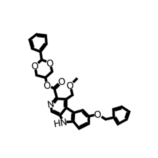 COCc1c(C(=O)OC2COC(c3ccccc3)OC2)ncc2[nH]c3ccc(OCc4ccccc4)cc3c12